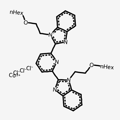 CCCCCCOCCn1c(-c2cccc(-c3nc4ccccc4n3CCOCCCCCC)n2)nc2ccccc21.[Cl-].[Cl-].[Cl-].[Co+3]